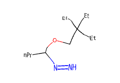 CCCC(N=N)OCC(CC)(CC)CC